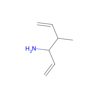 C=CC(C)C(N)C=C